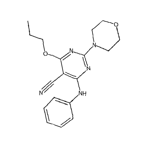 CCCOc1nc(N2CCOCC2)nc(Nc2ccccc2)c1C#N